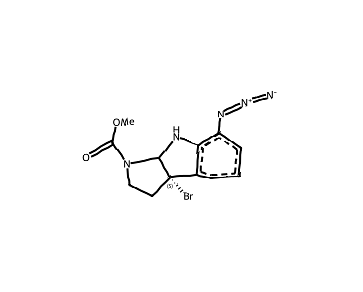 COC(=O)N1CC[C@]2(Br)c3cccc(N=[N+]=[N-])c3NC12